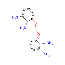 Nc1cccc(OOOc2cccc(N)c2N)c1N